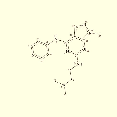 CN(C)CCNc1nc(Nc2ccccc2)c2cnn(C)c2n1